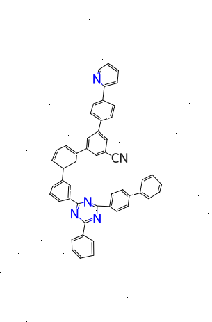 N#Cc1cc(C2=CC=CC(c3cccc(-c4nc(-c5ccccc5)nc(-c5ccc(-c6ccccc6)cc5)n4)c3)C2)cc(-c2ccc(-c3ccccn3)cc2)c1